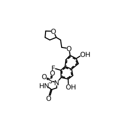 O=C1CN(c2c(O)cc3cc(O)c(OCCC4CCCO4)cc3c2F)S(=O)(=O)N1